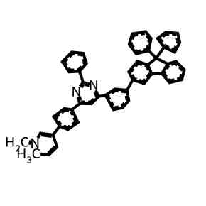 C=N/C=C(\C=C/C)c1ccc(-c2cc(-c3cccc(-c4ccc5c(c4)-c4ccccc4C5(c4ccccc4)c4ccccc4)c3)nc(-c3ccccc3)n2)cc1